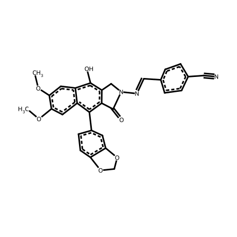 COc1cc2c(O)c3c(c(-c4ccc5c(c4)OCO5)c2cc1OC)C(=O)N(/N=C/c1ccc(C#N)cc1)C3